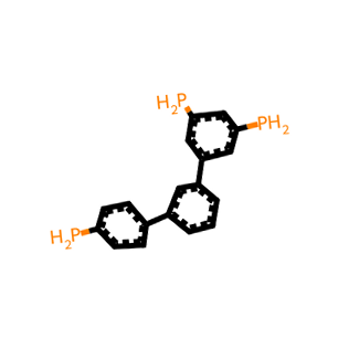 Pc1ccc(-c2cccc(-c3cc(P)cc(P)c3)c2)cc1